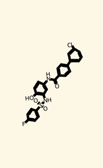 O=C(Nc1ccc(O)c(NS(=O)(=O)c2ccc(F)cc2)c1)c1ccc(-c2cccc(Cl)c2)cc1